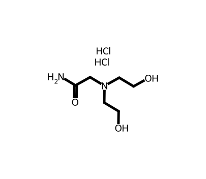 Cl.Cl.NC(=O)CN(CCO)CCO